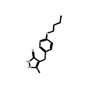 CCCCOc1ccc(Cc2c(C)[nH][nH]c2=O)cc1